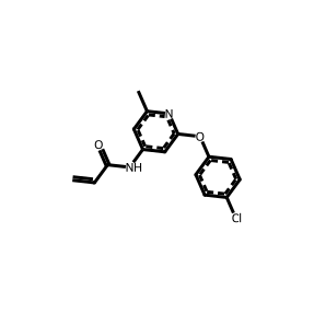 C=CC(=O)Nc1cc(C)nc(Oc2ccc(Cl)cc2)c1